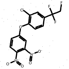 O=[N+]([O-])c1ccc(Oc2ccc(C(F)(F)CF)cc2Cl)cc1[N+](=O)[O-]